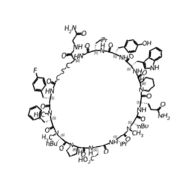 CCCC[C@H]1C(=O)N[C@@H](CCC(N)=O)C(=O)N2CCCC[C@@H]2C(=O)N[C@@H](Cc2c[nH]c3ccccc23)C(=O)N[C@@H](Cc2ccc(O)cc2)C(=O)N[C@@H](CC(C)C)C(=O)N[C@H](C(=O)NCC(N)=O)CSCC(=O)N[C@@H](Cc2ccc(F)cc2)C(=O)N(C)[C@@H](Cc2ccccc2)C(=O)N(C)[C@@H](CCCC)C(=O)N2CCC[C@@H]2C(=O)N[C@@H](CC(=O)O)C(=O)N[C@@H](C(C)C)C(=O)N1C